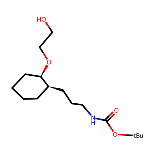 CC(C)(C)OC(=O)NCCC[C@H]1CCCC[C@H]1OCCO